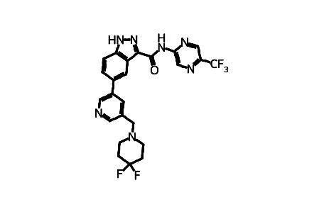 O=C(Nc1cnc(C(F)(F)F)cn1)c1n[nH]c2ccc(-c3cncc(CN4CCC(F)(F)CC4)c3)cc12